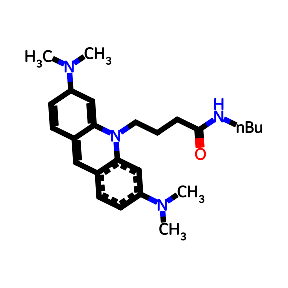 CCCCNC(=O)CCCN1C2=CC(N(C)C)C=CC2=Cc2ccc(N(C)C)cc21